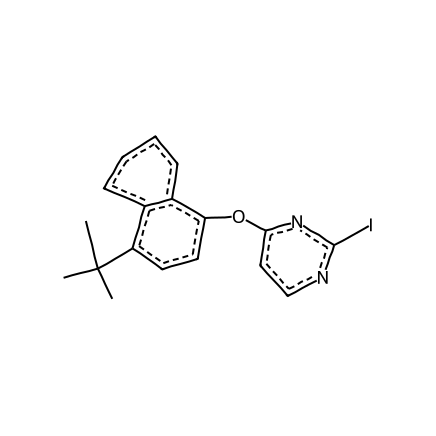 CC(C)(C)c1ccc(Oc2ccnc(I)n2)c2ccccc12